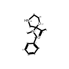 CC(=O)C1(N(C)Cc2ccccc2)CNCCO1